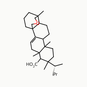 CC(C)[C@@H](C)C1(C)CCC2(C)C3CCC4C5(C)CCCC4(COC5)C3=CCC2(C)C1C(=O)O